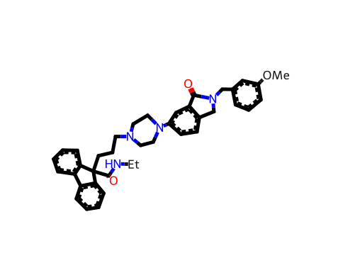 CCNC(=O)C1(CCCN2CCN(c3ccc4c(c3)C(=O)N(Cc3cccc(OC)c3)C4)CC2)c2ccccc2-c2ccccc21